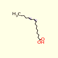 CCCC/C=C/C=C\CCCCCCCC(=O)O